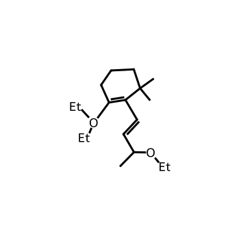 CCOC(C)/C=C/C1=C(C)CCCC1(C)C.CCOCC